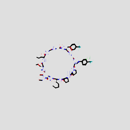 CCC[C@H]1C(=O)N[C@@H]([C@@H](C)CC)C(=O)N(C)CC(=O)N(C)CC(=O)N(C)[C@@H](Cc2ccc(C(F)(F)F)cc2)C(=O)N(C)CC(=O)N[C@@H](CCc2ccc(C(F)(F)F)c(Cl)c2)C(=O)N2CCC[C@H]2C(=O)NC2(CCCC2)C(=O)N(C)[C@@H](C2CCCCC2)C(=O)N(C)[C@H](C(=O)N2CCOCC2)CC(=O)N1C